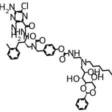 CCCCCCN(CCNC(=O)Oc1ccc(CN(C[C@H](CNC(=O)c2nc(Cl)c(N)nc2N)Cc2ccccc2C)C(=O)O)cc1)C[C@@H](O)[C@@H](O)[C@@H]1O[C@H](c2ccccc2)OC[C@H]1O